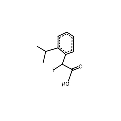 CC(C)c1ccccc1C(F)C(=O)O